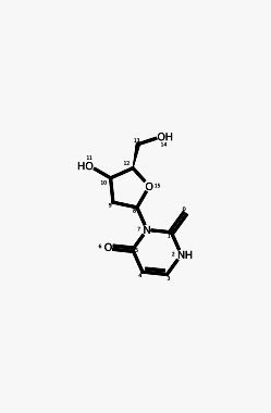 C=C1NC=CC(=O)N1C1CC(O)[C@@H](CO)O1